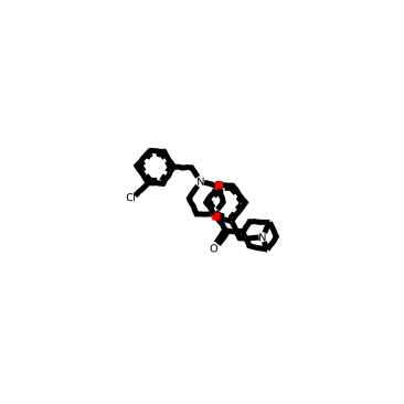 O=C(C1CC2CC(C1)N2Cc1ccncc1)N1CCN(Cc2cccc(Cl)c2)CC1